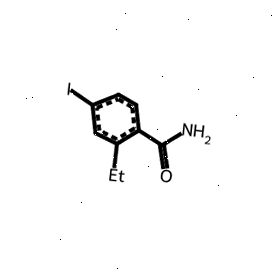 CCc1cc(I)ccc1C(N)=O